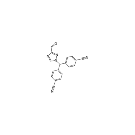 N#Cc1ccc(C(c2ccc(C#N)cc2)n2cnc(C=O)n2)cc1